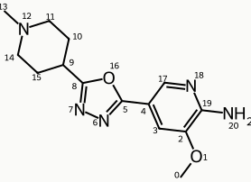 COc1cc(-c2nnc(C3CCN(C)CC3)o2)cnc1N